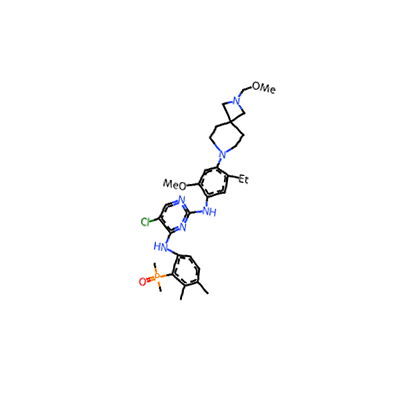 CCc1cc(Nc2ncc(Cl)c(Nc3ccc(C)c(C)c3P(C)(C)=O)n2)c(OC)cc1N1CCC2(CC1)CN(COC)C2